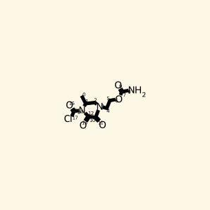 CC1CN(CCOC(N)=O)C(=O)C(=O)N1C(=O)Cl